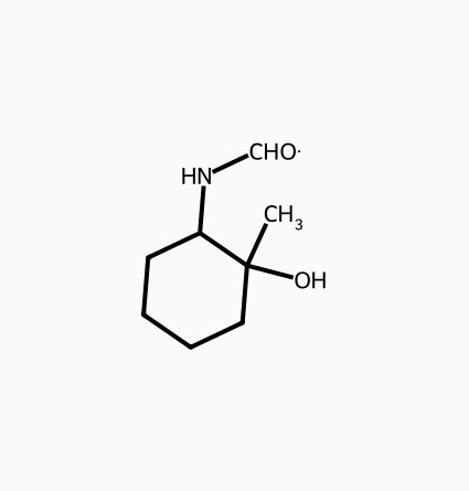 CC1(O)CCCCC1N[C]=O